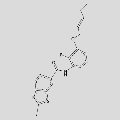 CCC=CCOc1cccc(NC(=O)c2ccc3nc(C)sc3c2)c1F